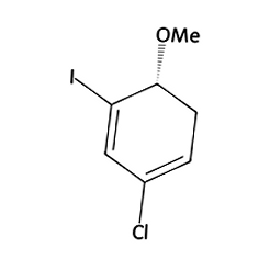 CO[C@@H]1CC=C(Cl)C=C1I